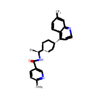 CC[C@H](NC(=O)c1ccc(OC)nc1)[C@H]1CC[C@@H](c2ccnc3cc(C(F)(F)F)ccc32)CC1